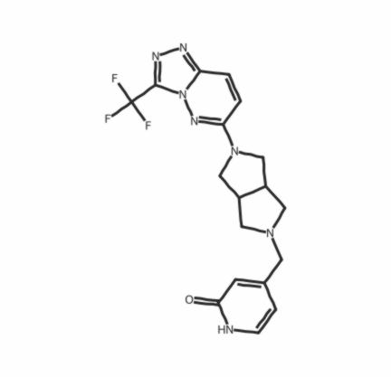 O=c1cc(CN2CC3CN(c4ccc5nnc(C(F)(F)F)n5n4)CC3C2)cc[nH]1